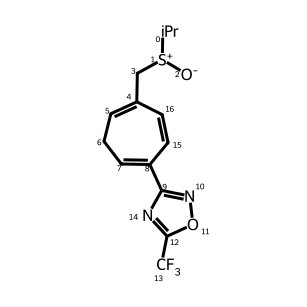 CC(C)[S+]([O-])CC1=CCC=C(c2noc(C(F)(F)F)n2)C=C1